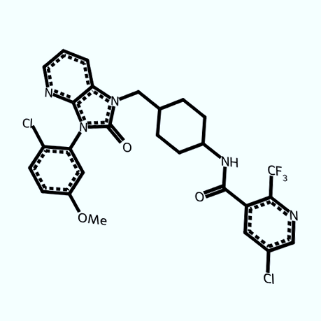 COc1ccc(Cl)c(-n2c(=O)n(CC3CCC(NC(=O)c4cc(Cl)cnc4C(F)(F)F)CC3)c3cccnc32)c1